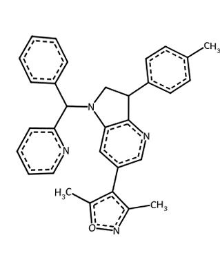 Cc1ccc(C2CN(C(c3ccccc3)c3ccccn3)c3cc(-c4c(C)noc4C)cnc32)cc1